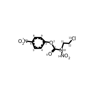 O=C(Oc1ccc([N+](=O)[O-])cc1)N(CCCl)[N+](=O)[O-]